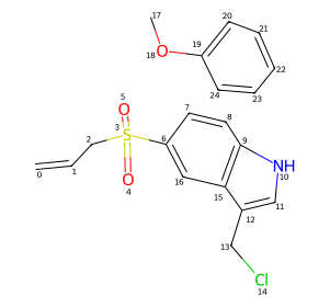 C=CCS(=O)(=O)c1ccc2[nH]cc(CCl)c2c1.COc1ccccc1